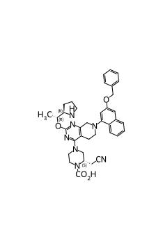 C[C@@H](Oc1nc2c(c(N3CCN(C(=O)O)[C@@H](CC#N)C3)n1)CCN(c1cc(OCc3ccccc3)cc3ccccc13)C2)[C@H]1CCCN1